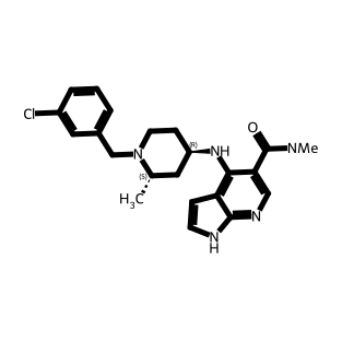 CNC(=O)c1cnc2[nH]ccc2c1N[C@@H]1CCN(Cc2cccc(Cl)c2)[C@@H](C)C1